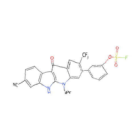 CC(C)n1c2cc(-c3cccc(OS(=O)(=O)F)c3)c(C(F)(F)F)cc2c(=O)c2c3ccc(C#N)cc3[nH]c21